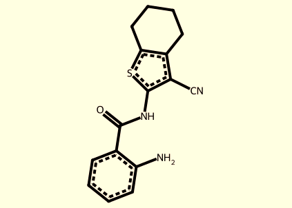 N#Cc1c(NC(=O)c2ccccc2N)sc2c1CCCC2